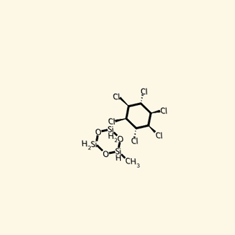 C[SiH]1O[SiH2]O[SiH2]O1.Cl[C@H]1[C@H](Cl)[C@@H](Cl)[C@@H](Cl)[C@H](Cl)[C@H]1Cl